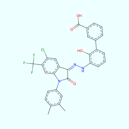 Cc1ccc(N2C(=O)C(=NNc3cccc(-c4cccc(C(=O)O)c4)c3O)c3cc(Cl)c(C(F)(F)F)cc32)cc1C